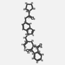 O=C(Cc1ccc2c(ccn2C/C(=C/F)CN2C(=O)c3ccccc3C2=O)c1)N1CCCC1